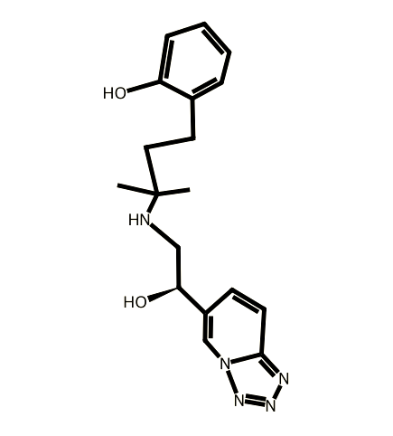 CC(C)(CCc1ccccc1O)NC[C@H](O)c1ccc2nnnn2c1